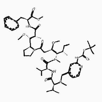 CC[C@H](C)[C@@H]([C@@H](CC(=O)N1CCC[C@H]1[C@H](OC)[C@@H](C)C(=O)N[C@@H](Cc1ccccc1)C(=O)OC)OC)N(C)C(=O)[C@@H](NC(=O)[C@H](C(C)C)N(C)Cc1ccnc(NC(=O)OC(C)(C)C)c1)C(C)C